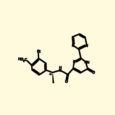 CCc1cc([C@@H](C)NC(=O)c2cc(=O)[nH]c(-c3ncccn3)n2)ccc1C(=O)O